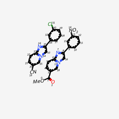 COC(=O)c1ccc2nc(-c3cccc([N+](=O)[O-])c3)cn2c1.N#Cc1ccc2nc(-c3cccc(Cl)c3)cn2c1